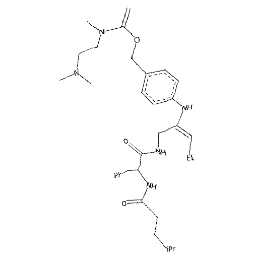 C=C(OCc1ccc(N/C(=C/CC)CNC(=O)C(NC(=O)CCC(C)C)C(C)C)cc1)N(C)CCN(C)C